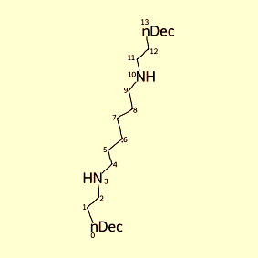 CCCCCCCCCCCCNCC[CH]CCCNCCCCCCCCCCCC